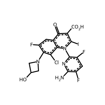 Nc1nc(-n2c(I)c(C(=O)O)c(=O)c3cc(F)c(N4CC(O)C4)c(Cl)c32)c(F)cc1F